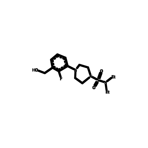 CCN(CC)S(=O)(=O)N1CCN(c2cccc(CO)c2F)CC1